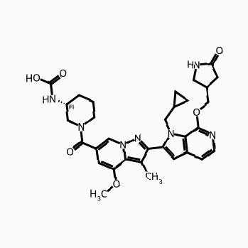 COc1cc(C(=O)N2CCC[C@@H](NC(=O)O)C2)cn2nc(-c3cc4ccnc(OCC5CNC(=O)C5)c4n3CC3CC3)c(C)c12